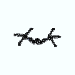 BrCCCCCCOc1cc(/C=C/c2ccc(-c3ccc(-c4ccc(-c5ccc(-c6ccc(/C=C/c7cc(OCCCCCCBr)c(OCCCCCCBr)c(OCCCCCCBr)c7)cc6)s5)c5nsnc45)s3)cc2)cc(OCCCCCCBr)c1OCCCCCCBr